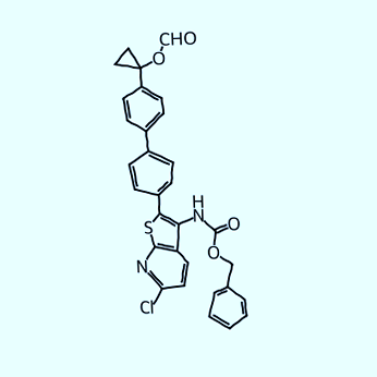 O=COC1(c2ccc(-c3ccc(-c4sc5nc(Cl)ccc5c4NC(=O)OCc4ccccc4)cc3)cc2)CC1